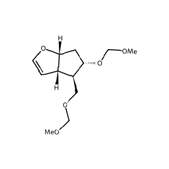 COCOC[C@H]1[C@@H]2C=CO[C@@H]2C[C@@H]1OCOC